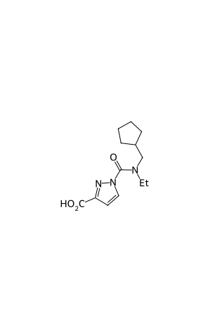 CCN(CC1CCCC1)C(=O)n1ccc(C(=O)O)n1